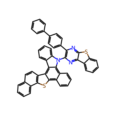 c1ccc(-c2ccc(-c3nc4sc5ccccc5c4nc3-n3c4ccccc4c4c5c6ccc7ccccc7c6sc5c5ccccc5c43)cc2)cc1